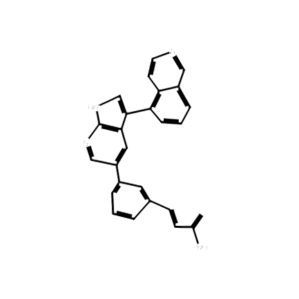 NC(=O)C=Cc1cccc(-c2cnc3[nH]cc(-c4cccc5cnccc45)c3c2)c1